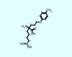 Cc1ccc(OCCCC(N)(CCCCB(O)O)C(=O)O)cc1